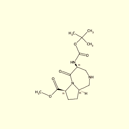 COC(=O)[C@@H]1CC[C@@H]2CNC[C@H](NC(=O)OC(C)(C)C)C(=O)N21